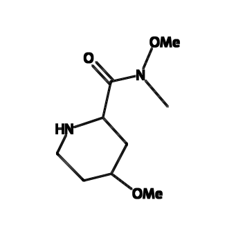 COC1CCNC(C(=O)N(C)OC)C1